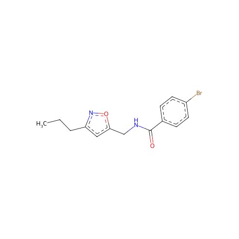 CCCc1cc(CNC(=O)c2ccc(Br)cc2)on1